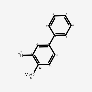 [2H]c1cc(-c2ccccc2)ccc1OC